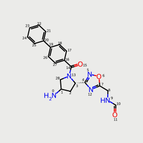 NC1C[C@@H](c2noc(CNC=O)n2)N(C(=O)c2ccc(-c3ccccc3)cc2)C1